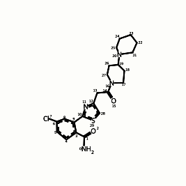 NC(=O)c1ccc(Cl)cc1-c1nc(CC(=O)N2CCC(N3CCCCC3)CC2)cs1